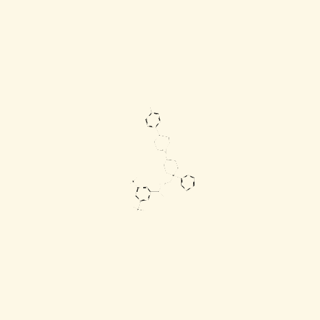 CC(OCC1(c2ccccc2)CCC(N2CCC(c3ccc(F)cc3)CC2)CC1)c1cc(C(F)(F)F)cc(C(F)(F)F)c1